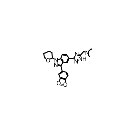 CN(C)Cc1nc(-c2ccc3c(c2)c(-c2ccc4c(c2)OCO4)nn3C2CCCCO2)n[nH]1